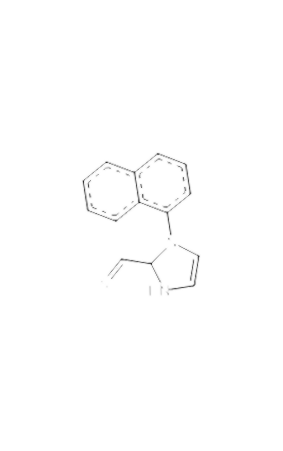 S=CC1NC=CN1c1cccc2ccccc12